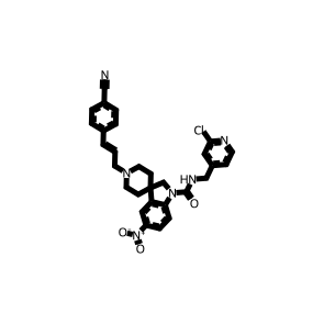 N#Cc1ccc(C=CCN2CCC3(CC2)CN(C(=O)NCc2ccnc(Cl)c2)c2ccc([N+](=O)[O-])cc23)cc1